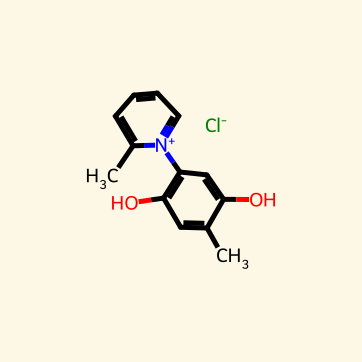 Cc1cc(O)c(-[n+]2ccccc2C)cc1O.[Cl-]